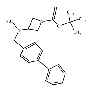 CN(Cc1ccc(-c2ccccc2)cc1)C1CN(C(=O)OC(C)(C)C)C1